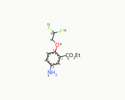 CCOC(=O)c1cc(N)ccc1OCC(F)F